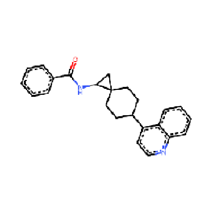 O=C(N[C@H]1CC12CCC(c1ccnc3ccccc13)CC2)c1ccccc1